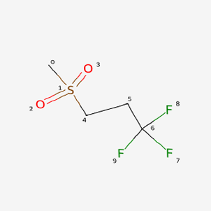 CS(=O)(=O)CCC(F)(F)F